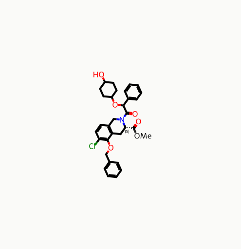 COC(=O)[C@@H]1Cc2c(ccc(Cl)c2OCc2ccccc2)CN1C(=O)C(OC1CCC(O)CC1)c1ccccc1